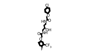 O=C(COc1ccc(Cl)cc1)NCC[C@H](O)CNC(=O)COc1ccc(F)c(C(F)(F)F)c1